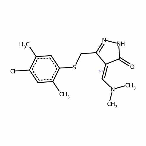 Cc1cc(SCC2=NNC(=O)/C2=C\N(C)C)c(C)cc1Cl